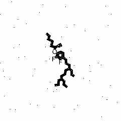 C#CC(CCCCC)Oc1ccc(CCCC(CCC)CCCC(CCC)CCC)c(F)c1F